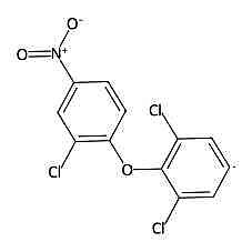 O=[N+]([O-])c1ccc(Oc2c(Cl)c[c]cc2Cl)c(Cl)c1